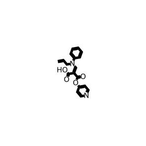 C=CCN(C=C(C(=O)O)C(=O)Oc1ccncc1)c1ccccc1